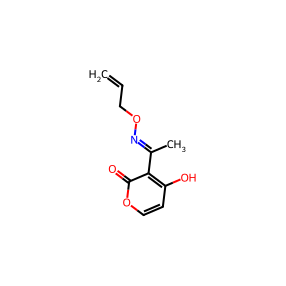 C=CCON=C(C)c1c(O)ccoc1=O